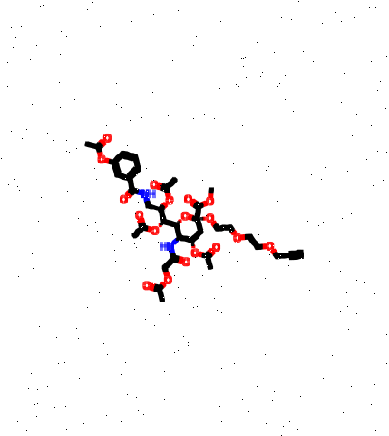 C#CCOCCOCCO[C@]1(C(=O)OC)C[C@H](OC(C)=O)[C@@H](NC(=O)COC(C)=O)[C@H]([C@H](OC(C)=O)[C@@H](CNC(=O)c2cccc(OC(C)=O)c2)OC(C)=O)O1